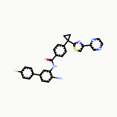 Nc1ccc(-c2ccc(F)cc2)cc1NC(=O)c1ccc(C2(c3nc(-c4cnccn4)cs3)CC2)cc1